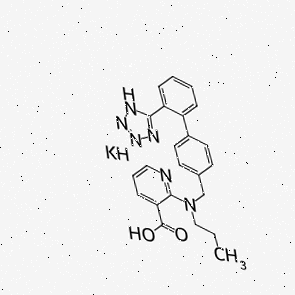 CCCN(Cc1ccc(-c2ccccc2-c2nnn[nH]2)cc1)c1ncccc1C(=O)O.[KH]